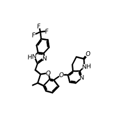 CC1c2cccc(Oc3ccnc4c3CCC(=O)N4)c2OC1Cc1nc2ccc(C(F)(F)F)cc2[nH]1